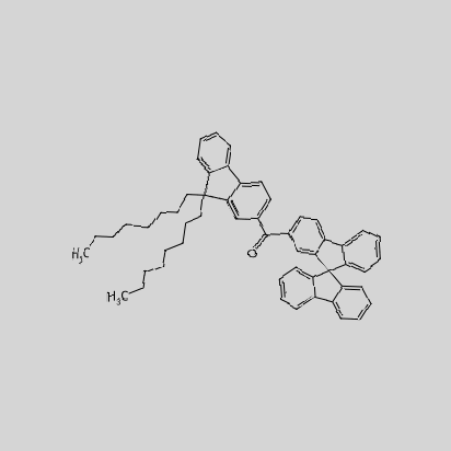 CCCCCCCCC1(CCCCCCCC)c2ccccc2-c2ccc(C(=O)c3ccc4c(c3)C3(c5ccccc5-c5ccccc53)c3ccccc3-4)cc21